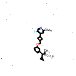 COc1cc(C2CC(COc3cccc(C(C4CC4)[C@H](C)C(=O)O)c3)C2)c(F)cn1